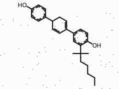 CCCCCC(C)(C)c1cc(C2=CCC(c3ccc(O)cc3)C=C2)ccc1O